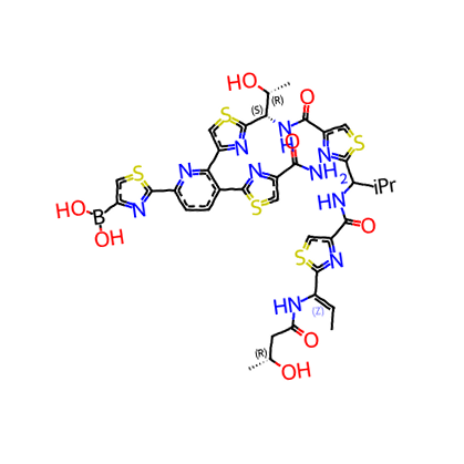 C/C=C(\NC(=O)C[C@@H](C)O)c1nc(C(=O)NC(c2nc(C(=O)N[C@H](c3nc(-c4nc(-c5nc(B(O)O)cs5)ccc4-c4nc(C(N)=O)cs4)cs3)[C@@H](C)O)cs2)C(C)C)cs1